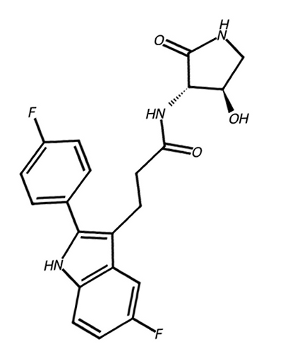 O=C(CCc1c(-c2ccc(F)cc2)[nH]c2ccc(F)cc12)N[C@@H]1C(=O)NC[C@H]1O